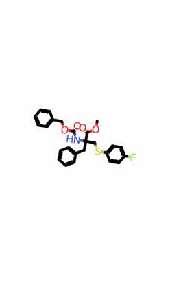 COC(=O)C(CSc1ccc(F)cc1)(Cc1ccccc1)NC(=O)OCc1ccccc1